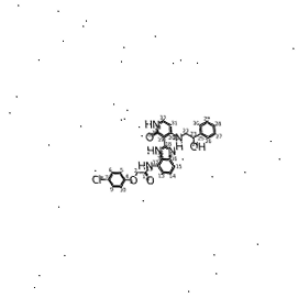 O=C(COc1ccc(Cl)cc1)Nc1cccc2nc(-c3c(NCC(O)c4ccccc4)cc[nH]c3=O)[nH]c12